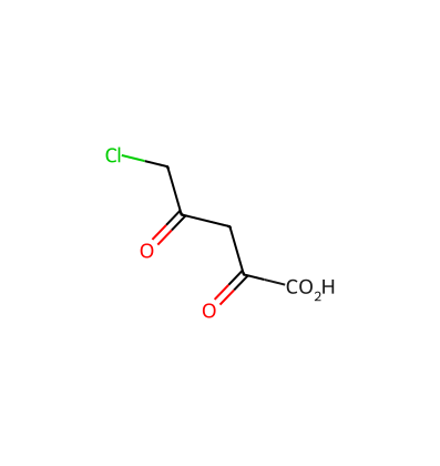 O=C(CCl)CC(=O)C(=O)O